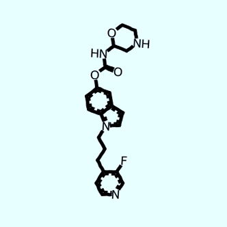 O=C(NC1CNCCO1)Oc1ccc2c(ccn2CCCc2ccncc2F)c1